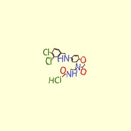 CC(=O)NCCN1C(=O)COc2ccc(NCc3ccc(Cl)c(Cl)c3)cc21.Cl